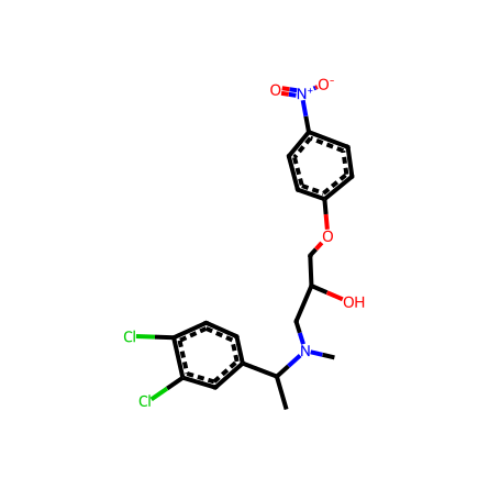 CC(c1ccc(Cl)c(Cl)c1)N(C)CC(O)COc1ccc([N+](=O)[O-])cc1